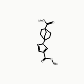 COC(=O)C12CCC(n3cc(C(=O)OC(C)(C)C)cn3)(CC1)CC2